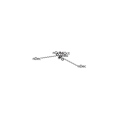 CCCCCCCCCCCCCCCCCCCCCCCCc1cccc(C2=C(C)C(CCCC)=C(c3cccc(CCCCCCCCCCCCCCCCCCCCCCCC)c3)[N+]2=[N-])c1.CCCCCCC[CH2][Pd][CH2]CCCCCCC